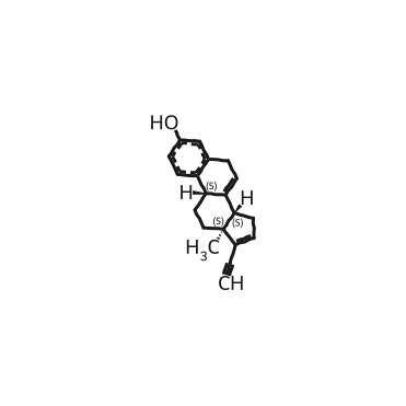 C#CC1=CC[C@H]2C3=CCc4cc(O)ccc4[C@H]3CC[C@]12C